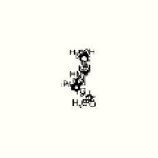 CC(C)c1ccc(OC[C@@H]2CCC(=O)N2C)c2cnc(Nc3ccnc(N4CC[C@](C)(O)[C@H](F)C4)n3)cc12